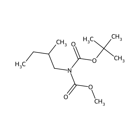 CCC(C)CN(C(=O)OC)C(=O)OC(C)(C)C